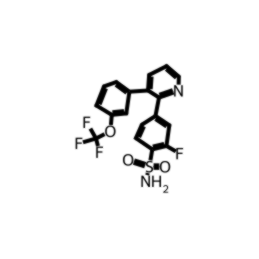 NS(=O)(=O)c1ccc(-c2ncccc2-c2cccc(OC(F)(F)F)c2)cc1F